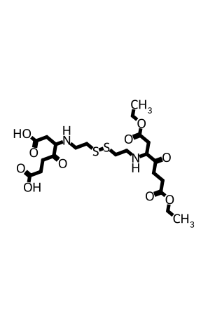 CCOC(=O)CCC(=O)C(CC(=O)OCC)NCCSSCCNC(CC(=O)O)C(=O)CCC(=O)O